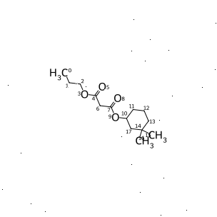 CCCOC(=O)CC(=O)OC1CCCC(C)(C)C1